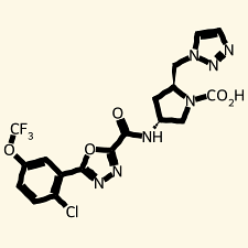 O=C(N[C@@H]1C[C@@H](Cn2ccnn2)N(C(=O)O)C1)c1nnc(-c2cc(OC(F)(F)F)ccc2Cl)o1